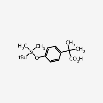 CC(C)(C(=O)O)c1ccc(O[Si](C)(C)C(C)(C)C)cc1